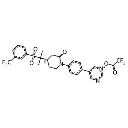 CC(C)([C@@H]1CCN(c2ccc(-c3cnc[n+](OC(=O)C(F)(F)F)c3)cc2)C(=O)C1)S(=O)(=O)c1cccc(C(F)(F)F)c1